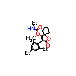 CCNC(=O)OC1=C(c2c(C)cc(CC)cc2CC)C(=O)OC12CCCC2